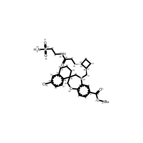 CC(C)(C)OC(=O)c1ccc2c(c1)N(C[C@@H]1CC[C@H]1CCC(=O)NCCS(N)(=O)=O)CC1(CCCc3cc(Cl)ccc31)CO2